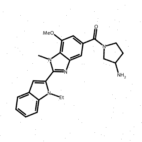 CCn1c(-c2nc3cc(C(=O)N4CCC(N)C4)cc(OC)c3n2C)cc2ccccc21